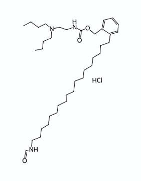 CCCCN(CCCC)CCNC(=O)OCc1ccccc1CCCCCCCCCCCCCCCCCCNC=O.Cl